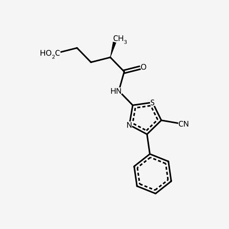 C[C@H](CCC(=O)O)C(=O)Nc1nc(-c2ccccc2)c(C#N)s1